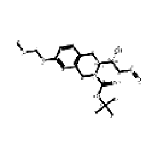 COCOc1ccc2c(c1)CN(C(=O)OC(C)(C)C)[C@H]([C@H](O)CN=O)C2